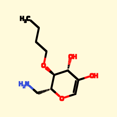 CCCCO[C@H]1[C@H](O)C(O)=CO[C@@H]1CN